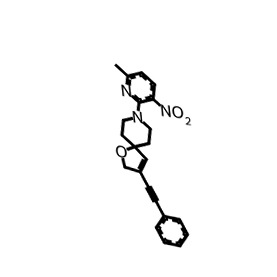 Cc1ccc([N+](=O)[O-])c(N2CCC3(C=C(C#Cc4ccccc4)CO3)CC2)n1